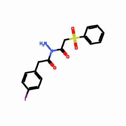 NN(C(=O)Cc1ccc(I)cc1)C(=O)CS(=O)(=O)c1ccccc1